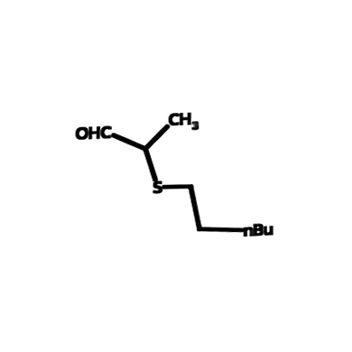 CCCCCCSC(C)C=O